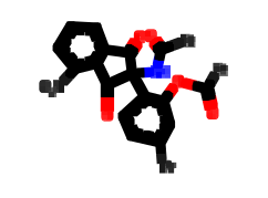 CCC(=O)NC1(c2ccc(C(C)C)cc2OC(=O)CC)C(=O)c2cccc([N+](=O)[O-])c2C1=O